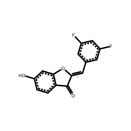 O=C1/C(=C/c2cc(F)cc(F)c2)Oc2cc(O)ccc21